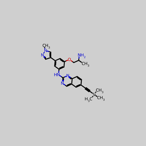 CC(N)COc1cc(Nc2ncc3cc(C#C[Si](C)(C)C)ccc3n2)cc(-c2cnn(C)c2)c1